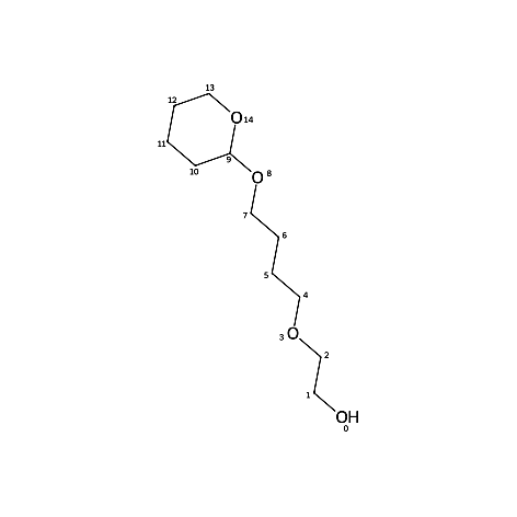 OCCOCCCCOC1CCCCO1